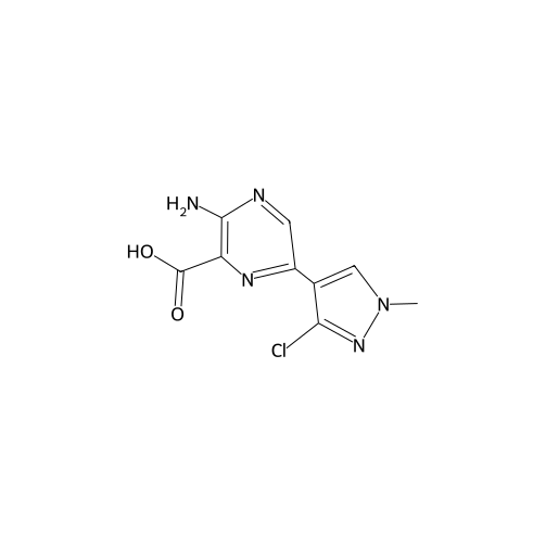 Cn1cc(-c2cnc(N)c(C(=O)O)n2)c(Cl)n1